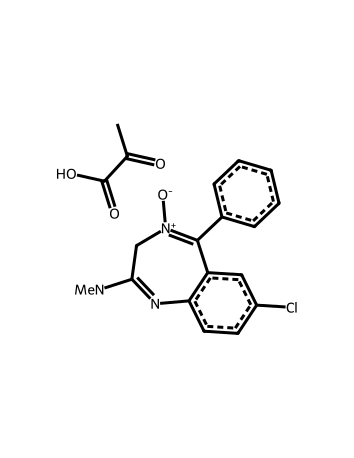 CC(=O)C(=O)O.CNC1=Nc2ccc(Cl)cc2C(c2ccccc2)=[N+]([O-])C1